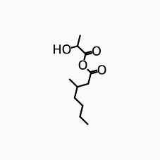 CCCCC(C)CC(=O)OC(=O)C(C)O